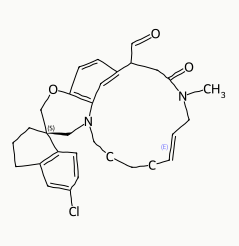 CN1C/C=C/CCCCN2C[C@@]3(CCCc4cc(Cl)ccc43)COc3ccc(cc32)C(C=O)CC1=O